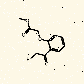 COC(=O)COc1ccccc1C(=O)CBr